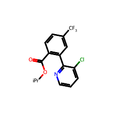 CC(C)OC(=O)c1ccc(C(F)(F)F)cc1-c1ncccc1Cl